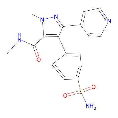 CNC(=O)c1c(-c2ccc(S(N)(=O)=O)cc2)c(-c2ccncc2)nn1C